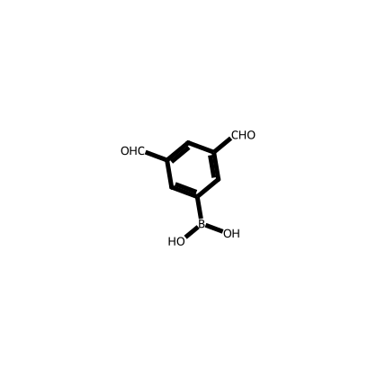 O=Cc1cc(C=O)cc(B(O)O)c1